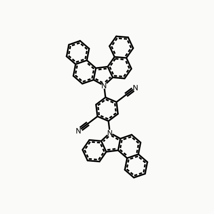 N#Cc1cc(-n2c3ccc4ccccc4c3c3c4ccccc4ccc32)c(C#N)cc1-n1c2ccccc2c2c3ccccc3ccc21